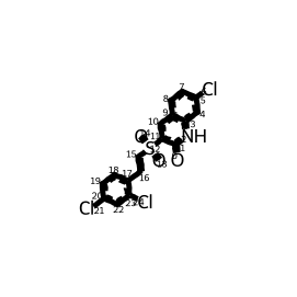 O=c1[nH]c2cc(Cl)ccc2cc1S(=O)(=O)C=Cc1ccc(Cl)cc1Cl